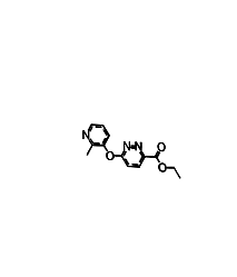 CCOC(=O)c1ccc(Oc2cccnc2C)nn1